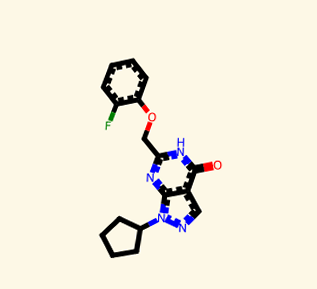 O=c1[nH]c(COc2ccccc2F)nc2c1cnn2C1CCCC1